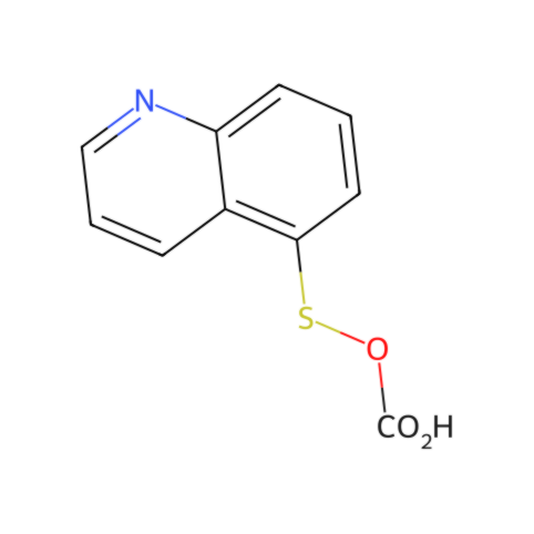 O=C(O)OSc1cccc2ncccc12